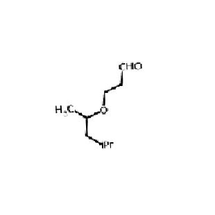 CC(C)CC(C)OCCC=O